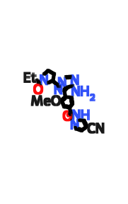 CCC(=O)N1CCCC(c2nc(-c3ccc(C(=O)Nc4cc(C#N)ccn4)cc3OC)c3c(N)nccn23)C1